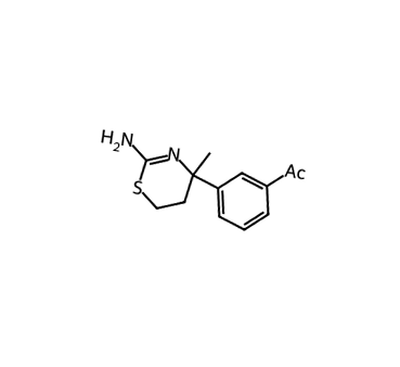 CC(=O)c1cccc(C2(C)CCSC(N)=N2)c1